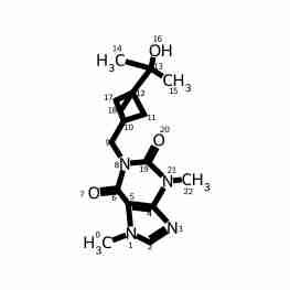 Cn1cnc2c1c(=O)n(CC13CC(C(C)(C)O)(C1)C3)c(=O)n2C